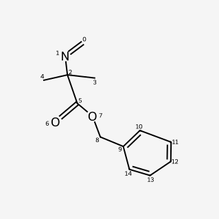 C=NC(C)(C)C(=O)OCc1ccccc1